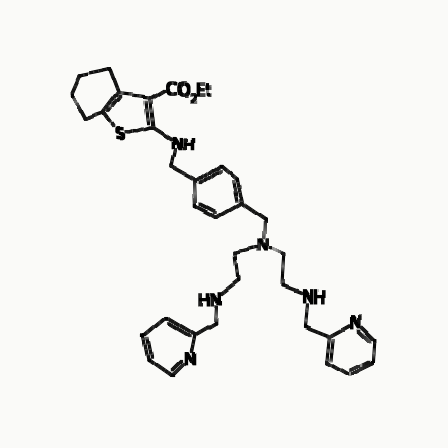 CCOC(=O)c1c(NCc2ccc(CN(CCNCc3ccccn3)CCNCc3ccccn3)cc2)sc2c1CCCC2